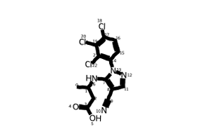 CC(CC(=O)O)Nc1c(C#N)cnn1-c1ccc(Cl)c(Cl)c1Cl